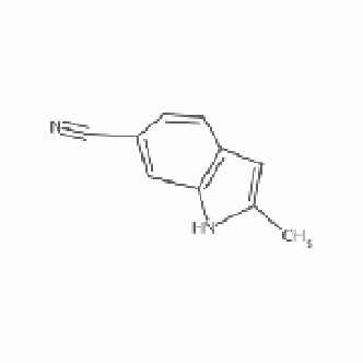 Cc1cc2ccc(C#N)cc2[nH]1